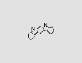 C1=CC2=Nc3cc4c(cc3=C2CC1)-c1ccccc1N=4